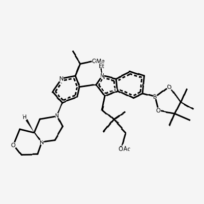 CCn1c(-c2cc(N3CCN4CCOC[C@@H]4C3)cnc2C(C)OC)c(CC(C)(C)COC(C)=O)c2cc(B3OC(C)(C)C(C)(C)O3)ccc21